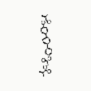 C=C(C)C(=O)OCC(=O)Oc1ccc(-c2ccc(-c3ccc(OC(=O)C(=C)C)cc3)cc2)cc1